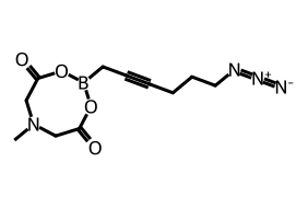 CN1CC(=O)OB(CC#CCCCN=[N+]=[N-])OC(=O)C1